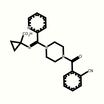 N#Cc1ccccc1C(=O)N1CCN(C(=NC2(C(=O)O)CC2)c2ccccn2)CC1